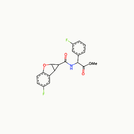 COC(=O)C(NC(=O)C1C2Oc3ccc(F)cc3C21)c1cccc(F)c1